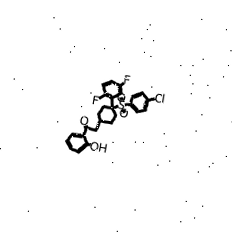 O=C(CC1CCC(c2cc(F)ccc2F)(S(=O)(=O)c2ccc(Cl)cc2)CC1)c1ccccc1O